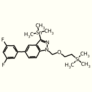 C[Si](C)(C)CCOCn1n[c]([Sn]([CH3])([CH3])[CH3])c2cc(-c3cc(F)cc(F)c3)ccc21